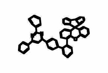 c1ccc(-c2cc(-c3ccc(-c4ccccc4-c4cccc5c4Oc4ccccc4C54c5ccccc5-c5ccccc54)cc3)nc(-c3ccccc3)n2)cc1